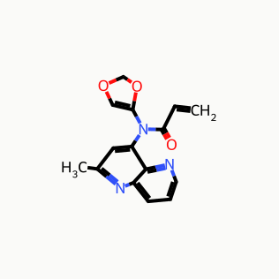 C=CC(=O)N(C1=COCO1)c1cc(C)nc2cccnc12